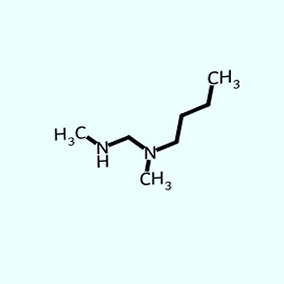 CCCCN(C)CNC